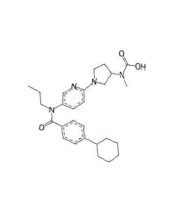 CCCN(C(=O)c1ccc(C2CCCCC2)cc1)c1ccc(N2CCC(N(C)C(=O)O)C2)nc1